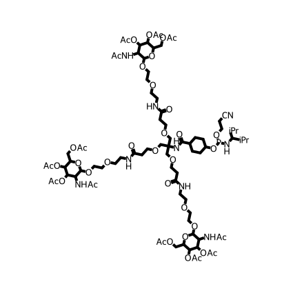 CC(=O)NC1C(OCCOCCNC(=O)CCOCC(COCCC(=O)NCCOCCOC2OC(COC(C)=O)C(OC(C)=O)C(OC(C)=O)C2NC(C)=O)(COCCC(=O)NCCOCCOC2OC(COC(C)=O)C(OC(C)=O)C(OC(C)=O)C2NC(C)=O)NC(=O)C2CCC(OP(NC(C(C)C)C(C)C)OCCC#N)CC2)OC(COC(C)=O)C(OC(C)=O)C1OC(C)=O